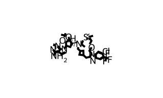 CC(C)N(CC1CC(Cc2nc3cc(C(F)(F)F)c(Cl)cc3n2COCC[Si](C)(C)C)C1)C[C@H]1CC(n2ccc3c(N)ncnc32)C2OC(C)(C)O[C@@H]21